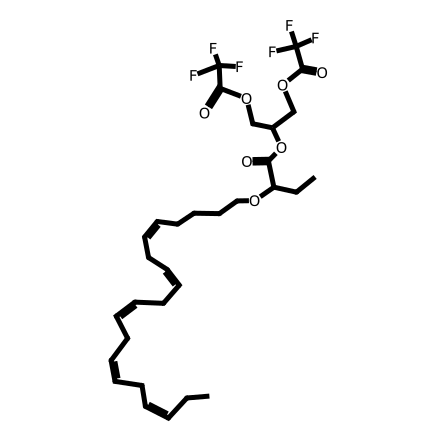 CC/C=C\C/C=C\C/C=C\C/C=C\C/C=C\CCCCOC(CC)C(=O)OC(COC(=O)C(F)(F)F)COC(=O)C(F)(F)F